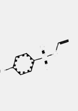 C=COS(=O)(=O)c1ccc(O)cc1